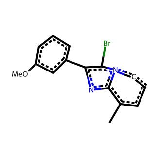 COc1cccc(-c2nc3c(C)cccn3c2Br)c1